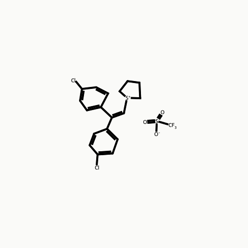 Clc1ccc(C(=C[S+]2CCCC2)c2ccc(Cl)cc2)cc1.O=S(=O)([O-])C(F)(F)F